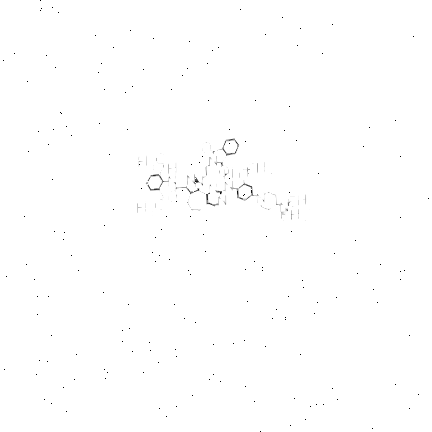 CCc1cccc(CC)c1NC(=O)c1nn(CCN2C(=O)c3ccccc3C2=O)c2c1CCCc1cnc(Nc3ccc(N4CCC(N(C)C)CC4)cc3OC)nc1-2